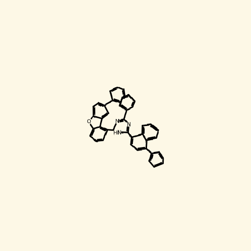 c1ccc(C2=NC(c3cccc4oc5ccc(-c6ccccc6)cc5c34)NC(c3ccc(-c4ccccc4)c4ccccc34)=N2)cc1